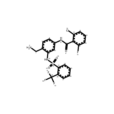 NCc1ccc(NC(=O)c2c(F)cccc2Cl)cc1NS(=O)(=O)c1ccccc1C(F)(F)F